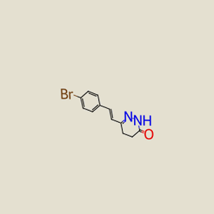 O=C1CCC(C=Cc2ccc(Br)cc2)=NN1